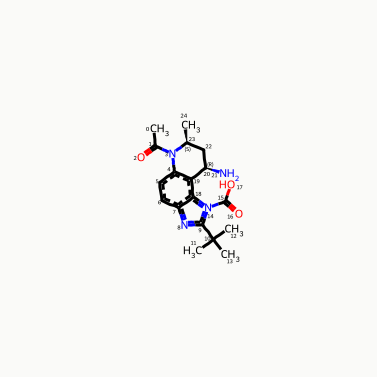 CC(=O)N1c2ccc3nc(C(C)(C)C)n(C(=O)O)c3c2[C@H](N)C[C@@H]1C